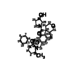 C[C@H]1CC[C@H](c2ccccc2)S(=O)(=O)N1Cc1cc(F)c(C2(C(=O)N3CC[C@H](O)C3)CCOCC2)cc1F